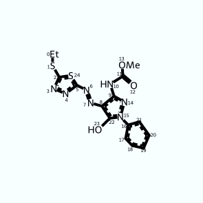 CCSc1nnc(/N=N/c2c(NC(=O)OC)nn(-c3ccccc3)c2O)s1